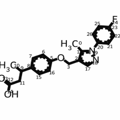 Cc1c(COc2ccc(C(C)CC(=O)O)cc2)cnn1-c1ccc(F)cc1